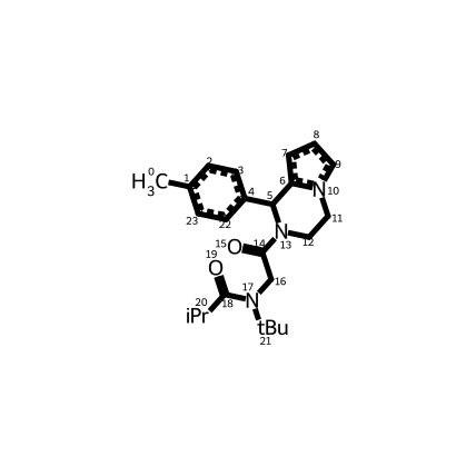 Cc1ccc(C2c3cccn3CCN2C(=O)CN(C(=O)C(C)C)C(C)(C)C)cc1